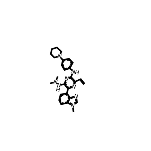 C=Cc1nc(-c2cccc3c2ncn3C)c(NN(C)C)nc1Nc1ccc(N2CCCCC2)cc1